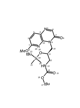 COc1ccc2ncc(=O)n(C[C@@H](CNC(=O)OC(C)(C)C)O[Si](C)(C)C(C)(C)C)c2n1